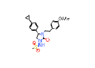 COc1ccc(CCN2C(=O)N(NS(C)(=O)=O)C[C@H]2c2ccc(C3CC3)cc2)cc1